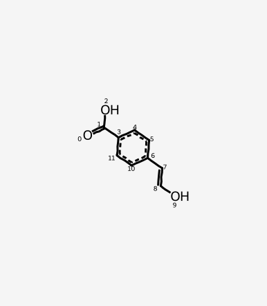 O=C(O)c1ccc(C=CO)cc1